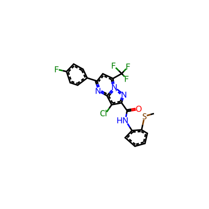 CSc1ccccc1NC(=O)c1nn2c(C(F)(F)F)cc(-c3ccc(F)cc3)nc2c1Cl